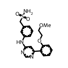 COCCOc1ccccc1-c1cc(Nc2cccc(CS(N)(=O)=O)c2)ncn1